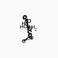 COCCCOc1cc(C[C@@H](C[C@H](N)[C@@H](O)CNC(=O)C(C)(C)c2ccccc2)C(C)C)ccc1OC